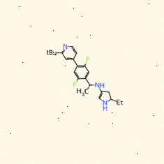 CCC1CC(NC(C)c2cc(F)c(-c3ccnc(C(C)(C)C)c3)cc2F)=CN1